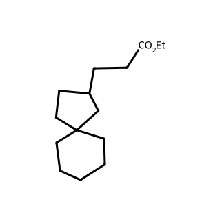 CCOC(=O)CCC1CCC2(CCCCC2)C1